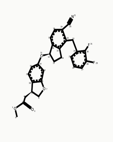 COC(=O)C[C@@H]1COc2cc(O[C@@H]3CCc4c3ccc(C#N)c4Cc3cccc(F)c3F)ccc21